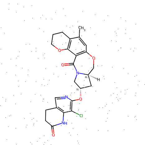 Cc1cc2c(c3c1CCCO3)C(=O)N1C[C@@H](Oc3ncc4c(c3Cl)NC(=O)CC4)C[C@@H]1CO2